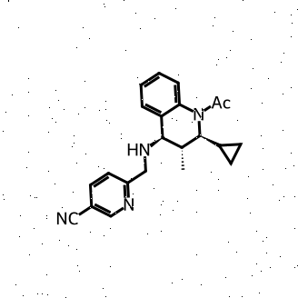 CC(=O)N1c2ccccc2[C@H](NCc2ccc(C#N)cn2)[C@@H](C)[C@@H]1C1CC1